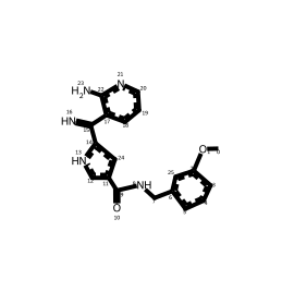 COc1cccc(CNC(=O)c2c[nH]c(C(=N)c3cccnc3N)c2)c1